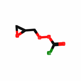 O=C(Cl)OOCC1CO1